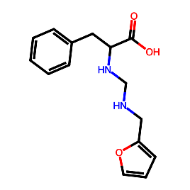 O=C(O)C(Cc1ccccc1)NCNCc1ccco1